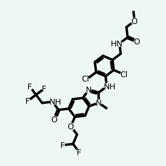 COCC(=O)NCc1ccc(Cl)c(Nc2nc3cc(C(=O)NCC(F)(F)F)c(OCC(F)F)cc3n2C)c1Cl